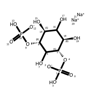 O=P([O-])(O)O[C@@H]1C(O)[C@H](OP(=O)([O-])O)[C@@H](O)C(O)[C@H]1O.[Na+].[Na+]